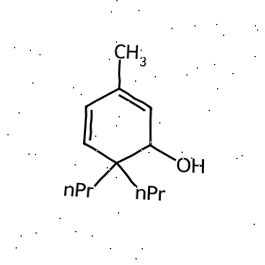 CCCC1(CCC)C=CC(C)=CC1O